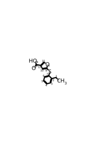 CCc1ccccc1Sc1cc(C(=O)O)co1